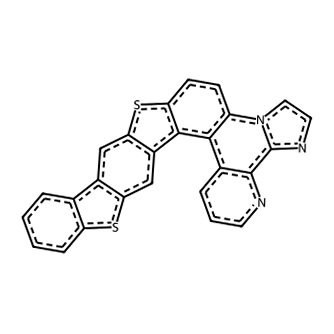 c1ccc2c(c1)sc1cc3c(cc12)sc1ccc2c(c4cccnc4c4nccn24)c13